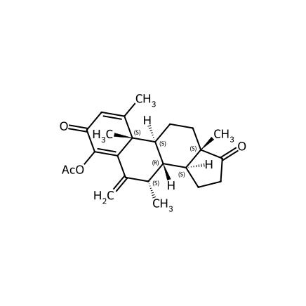 C=C1C2=C(OC(C)=O)C(=O)C=C(C)[C@]2(C)[C@H]2CC[C@]3(C)C(=O)CC[C@H]3[C@@H]2[C@@H]1C